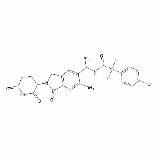 Bc1cc2c(cc1C(B)NC(=O)C(F)(F)c1ccc(Cl)cc1)CN(C1CCC(=O)NC1=O)C2=O